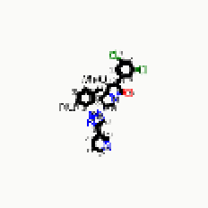 COC1=C(c2cc(Cl)cc(Cl)c2)C(=O)N2C[C@@H](n3cc(-c4cccnc4)nn3)C[C@@]12Cc1ccc(C#N)cc1